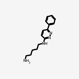 NCCCCCNc1ccc(-c2ccccc2)nn1